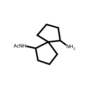 CC(=O)NC1CCCC12CCCC2N